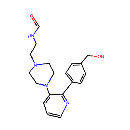 O=CNCCN1CCN(c2cccnc2-c2ccc(CO)cc2)CC1